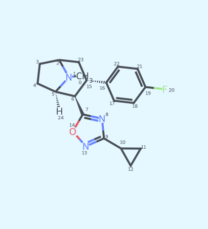 CN1C2CC[C@@H]1[C@H](c1nc(C3CC3)no1)[C@@H](c1ccc(F)cc1)C2